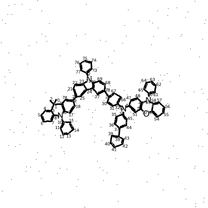 CC1(C)c2ccccc2N(c2ccccc2)c2ccc(-c3ccc4c(c3)c3cc(-c5ccc(N(c6ccc(-c7ccccc7)cc6)c6ccc7c(c6)Oc6ccccc6N7c6ccccc6)cc5)ccc3n4-c3ccccc3)cc21